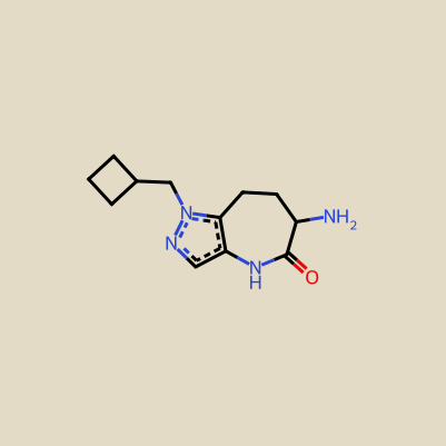 NC1CCc2c(cnn2CC2CCC2)NC1=O